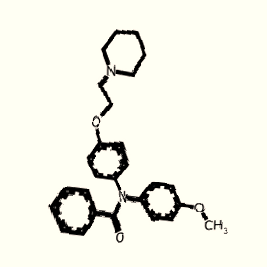 COc1ccc(N(C(=O)c2ccccc2)c2ccc(OCCN3CCCCC3)cc2)cc1